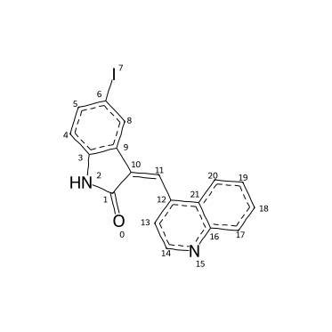 O=C1Nc2ccc(I)cc2C1=Cc1ccnc2ccccc12